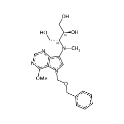 COc1ncnc2c(N(C)[C@H](CO)[C@H](O)CO)cn(COCc3ccccc3)c12